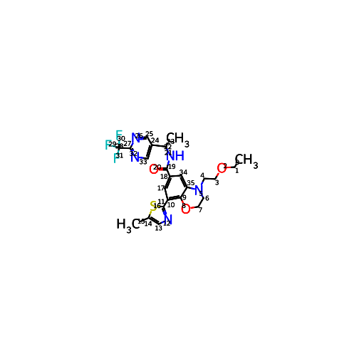 CCOCCN1CCOc2c(-c3ncc(C)s3)cc(C(=O)N[C@H](C)c3cnc(C(F)(F)F)nc3)cc21